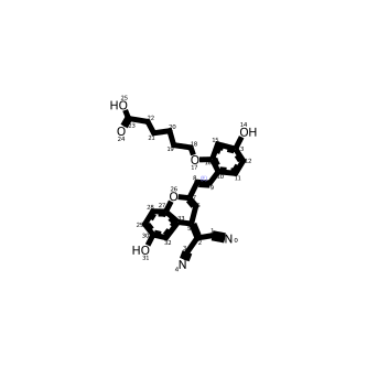 N#CC(C#N)=C1C=C(/C=C/c2ccc(O)cc2OCCCCCC(=O)O)Oc2ccc(O)cc21